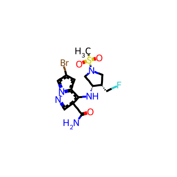 CS(=O)(=O)N1C[C@H](CF)[C@H](Nc2c(C(N)=O)cnn3cc(Br)cc23)C1